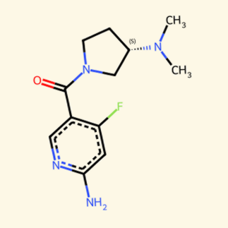 CN(C)[C@H]1CCN(C(=O)c2cnc(N)cc2F)C1